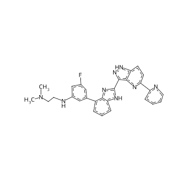 CN(C)CCNc1cc(F)cc(-c2cccc3[nH]c(-c4n[nH]c5ccc(-c6ccccn6)nc45)nc23)c1